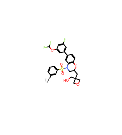 O=S(=O)(c1cccc(C(F)(F)F)c1)N1CC(CC2(CO)COC2)Oc2ccc(-c3cc(F)cc(OC(F)F)c3)cc21